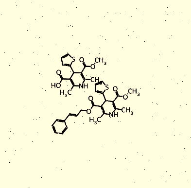 COC(=O)C1=C(C)NC(C)=C(C(=O)O)C1c1cccs1.COC(=O)C1=C(C)NC(C)=C(C(=O)OCC=Cc2ccccc2)C1c1cccs1